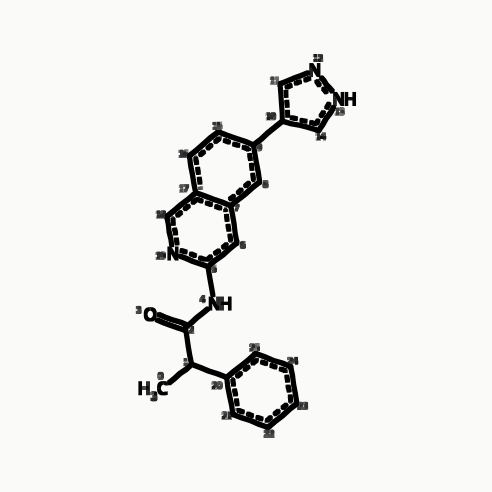 CC(C(=O)Nc1cc2cc(-c3cn[nH]c3)ccc2cn1)c1ccccc1